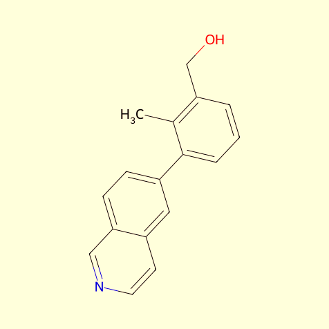 Cc1c(CO)cccc1-c1ccc2cnccc2c1